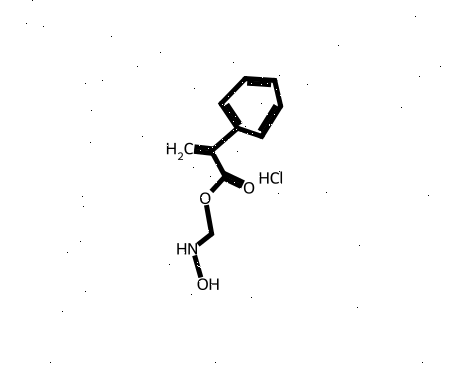 C=C(C(=O)OCNO)c1ccccc1.Cl